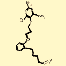 CCc1nc(N)nc(N)c1OCCCOc1ccccc1CCCCC(=O)O